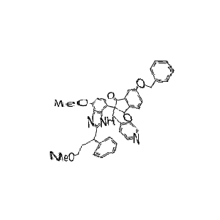 COCCC(c1ccccc1)c1nc2c(OC)ccc(C3(Cc4ccncc4)C(=O)c4ccc(OCc5ccccc5)cc4C3=O)c2[nH]1